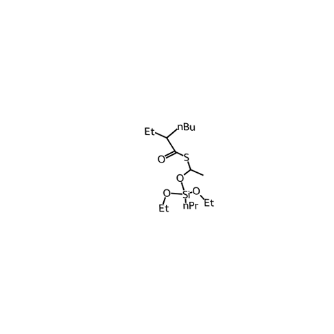 CCCCC(CC)C(=O)SC(C)O[Si](CCC)(OCC)OCC